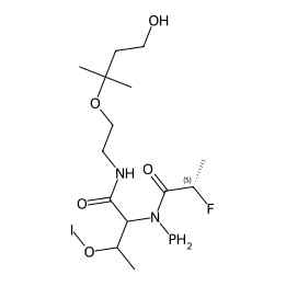 CC(OI)C(C(=O)NCCOC(C)(C)CCO)N(P)C(=O)[C@H](C)F